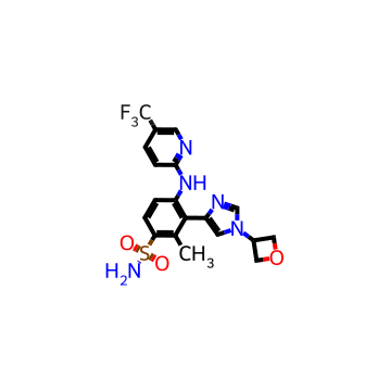 Cc1c(S(N)(=O)=O)ccc(Nc2ccc(C(F)(F)F)cn2)c1-c1cn(C2COC2)cn1